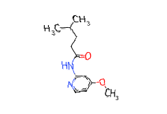 COc1ccnc(NC(=O)CCC(C)C)c1